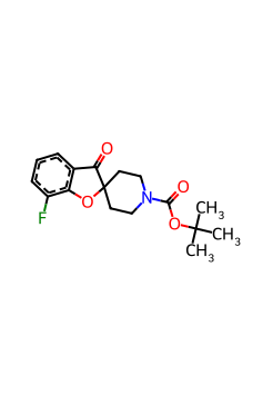 CC(C)(C)OC(=O)N1CCC2(CC1)Oc1c(F)cccc1C2=O